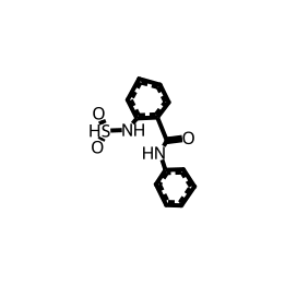 O=C(Nc1ccccc1)c1ccccc1N[SH](=O)=O